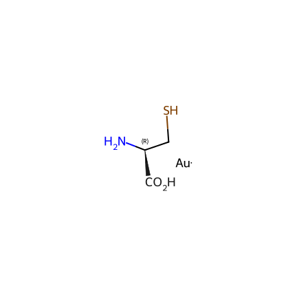 N[C@@H](CS)C(=O)O.[Au]